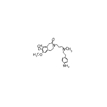 COc1cc2c(cc1OC)CC(=O)N(CCCN(C)CCc1ccc(N)cc1)CC2